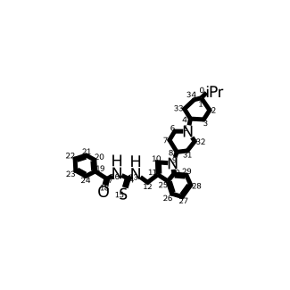 CC(C)C1CCC(N2CCC(n3cc(CNC(=S)NC(=O)c4ccccc4)c4ccccc43)CC2)CC1